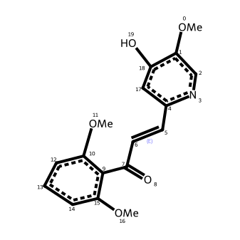 COc1cnc(/C=C/C(=O)c2c(OC)cccc2OC)cc1O